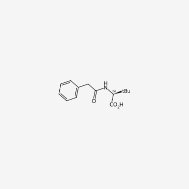 CC(C)(C)[C@H](NC(=O)Cc1ccccc1)C(=O)O